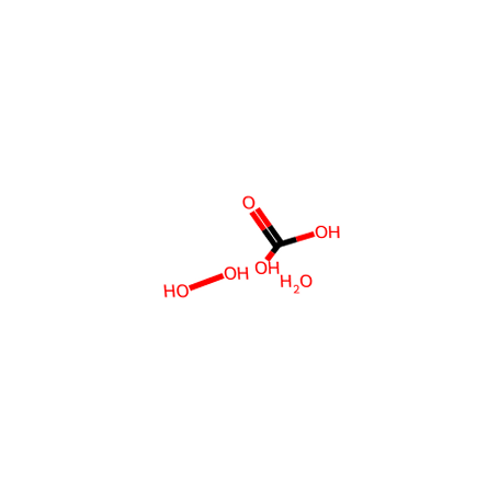 O.O=C(O)O.OO